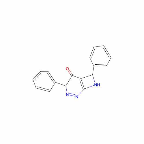 O=C1C2=C(N=NC1c1ccccc1)NC2c1ccccc1